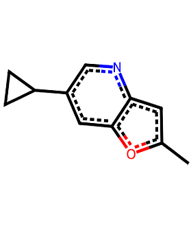 Cc1cc2ncc(C3CC3)cc2o1